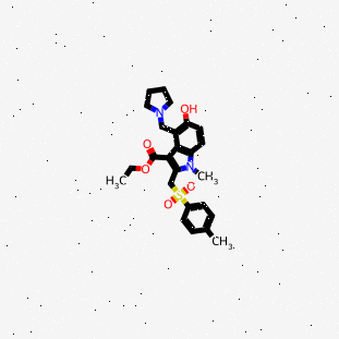 CCOC(=O)c1c(CS(=O)(=O)c2ccc(C)cc2)n(C)c2ccc(O)c(CN3CCCC3)c12